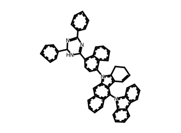 C1=Cc2c(n(-c3ccc(C4=NC(c5ccccc5)=NC(c5ccccc5)N4)c4ccccc34)c3cc4ccccc4c(-n4c5ccccc5c5ccccc54)c23)CC1